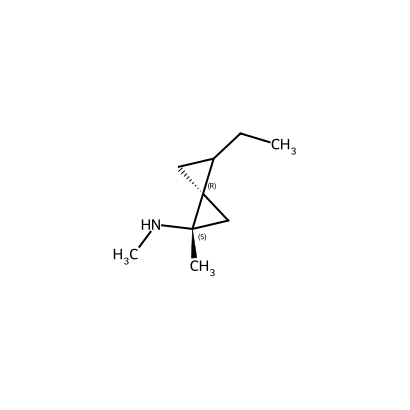 CCC1C[C@@]12C[C@]2(C)NC